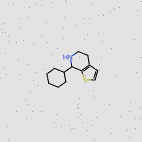 c1cc2c(s1)C(C1CCCCC1)NCC2